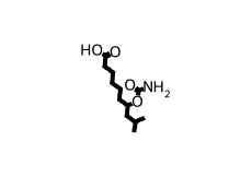 CC(C)CC(CCCCCC(=O)O)OC(N)=O